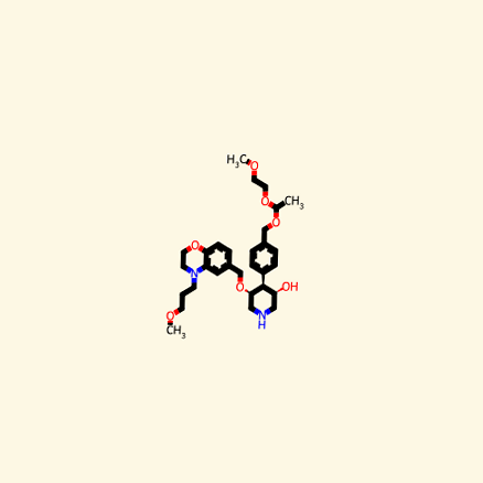 COCCCN1CCOc2ccc(CO[C@H]3CNC[C@@H](O)[C@@H]3c3ccc(COC(C)OCCOC)cc3)cc21